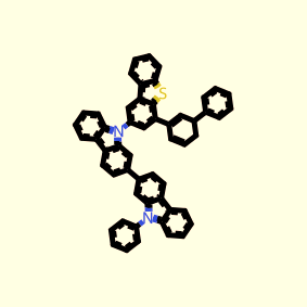 C1=CC(c2cc(-n3c4ccccc4c4ccc(-c5ccc6c7ccccc7n(-c7ccccc7)c6c5)cc43)cc3c2sc2ccccc23)=CC(c2ccccc2)C1